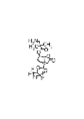 CC(C)(CN)C(=O)OC1C2CC3C1OC(=O)C3C2C(=O)OC(C(F)(F)F)C(F)(F)F